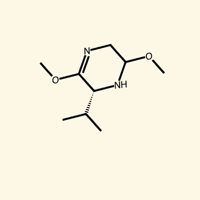 COC1=NCC(OC)N[C@@H]1C(C)C